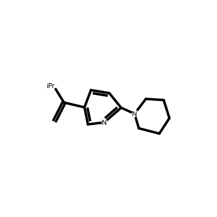 C=C(c1ccc(N2CCCCC2)nc1)C(C)C